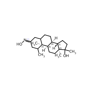 CC1C/C(=N\O)CC2CC[C@@H]3[C@@H](CC[C@@]4(C)[C@H]3CCC4(C)O)[C@@]12C